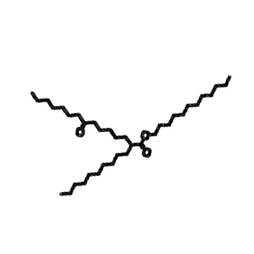 CCCCCCCCCCCCOC(=O)C(CCCCCCCCCC)CCCCCC(=O)CCCCCCC